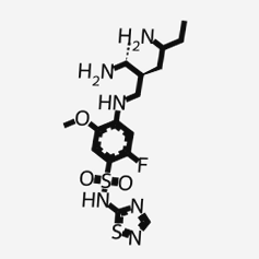 CCC(N)C[C@@H](CNc1cc(F)c(S(=O)(=O)Nc2ncns2)cc1OC)[C@@H](C)N